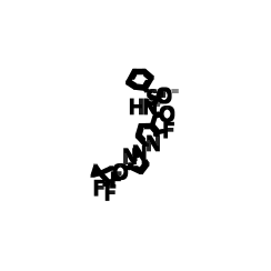 O=C(N[S@+]([O-])c1ccccc1)c1ccc(-n2ccc(OCC3(C(F)(F)F)CC3)n2)nc1F